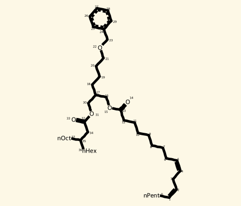 CCCCC/C=C\C/C=C\CCCCCCCC(=O)OCC(CCCCOCc1ccccc1)COC(=O)CC(CCCCCC)CCCCCCCC